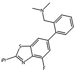 CC(C)c1nc2c(F)cc(-c3ccccc3CN(C)C)cc2s1